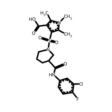 Cc1c(C(=O)O)c(S(=O)(=O)N2CCCC(C(=O)Nc3ccc(F)c(Cl)c3)C2)c(C)n1C